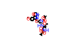 C=C[C@@H]1C[C@]1(NC(=O)[C@@H]1C[C@@H](Oc2nc3c(c4cc(OC)ccc24)OCCN3C)CN1C(=O)OC(C)(C)C)C(=O)NS(=O)(=O)C1CC1